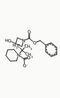 CC(C)(C)[N+]1(C(=O)[O-])CCCC[C@@H]1C1(O)CN(C(=O)OCc2ccccc2)C1